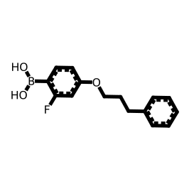 OB(O)c1ccc(OCCCc2ccccc2)cc1F